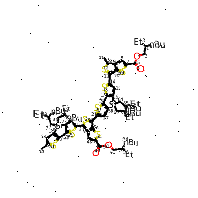 CCCCC(CC)COC(=O)c1cc2c(C)sc(-c3cc4c(s3)-c3sc(-c5sc(-c6cc7c(s6)-c6sc(C)cc6[Si]7(CC(CC)CCCC)CC(CC)CCCC)c6cc(C(=O)OCC(CC)CCCC)sc56)cc3[Si]4(CC(CC)CCCC)CC(CC)CCCC)c2s1